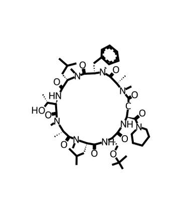 CC(C)C[C@H]1C(=O)N[C@@H](COC(C)(C)C)C(=O)N[C@H](C(=O)N2CCCCC2)CC(=O)N(C)[C@@H](C)C(=O)N(C)[C@@H](Cc2ccccc2)C(=O)N(C)[C@@H](CC(C)C)C(=O)N[C@@H]([C@@H](C)O)C(=O)N(C)[C@@H](C)C(=O)N1C